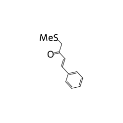 CSCC(=O)C=Cc1ccccc1